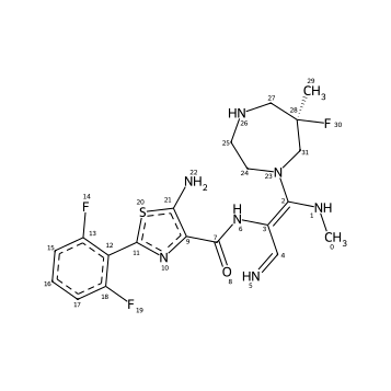 CN/C(=C(\C=N)NC(=O)c1nc(-c2c(F)cccc2F)sc1N)N1CCNC[C@@](C)(F)C1